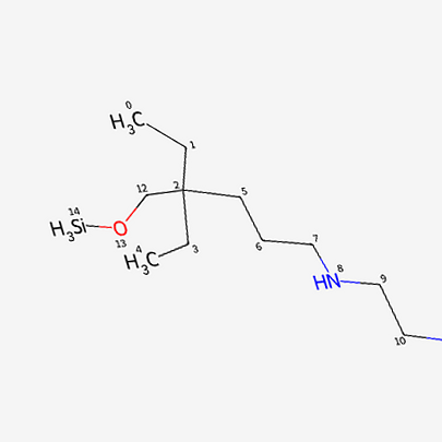 CCC(CC)(CCCNCCN)CO[SiH3]